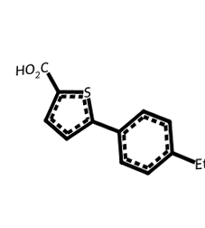 CCc1ccc(-c2ccc(C(=O)O)s2)cc1